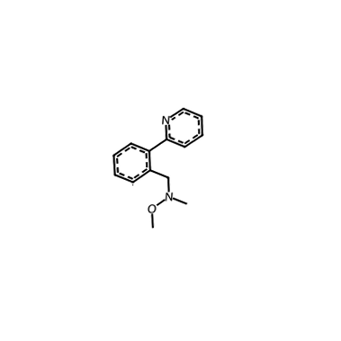 CON(C)Cc1[c]cccc1-c1ccccn1